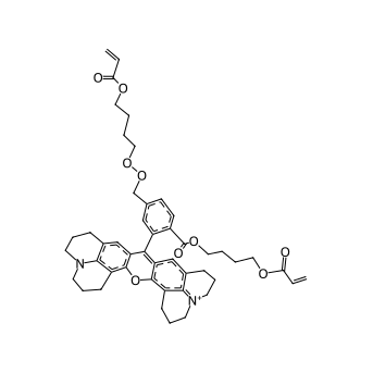 C=CC(=O)OCCCCOOCc1ccc(C(=O)OCCCCOC(=O)C=C)c(C2=c3cc4c5c(c3Oc3c2cc2c6c3CCCN6CCC2)CCC[N+]=5CCC4)c1